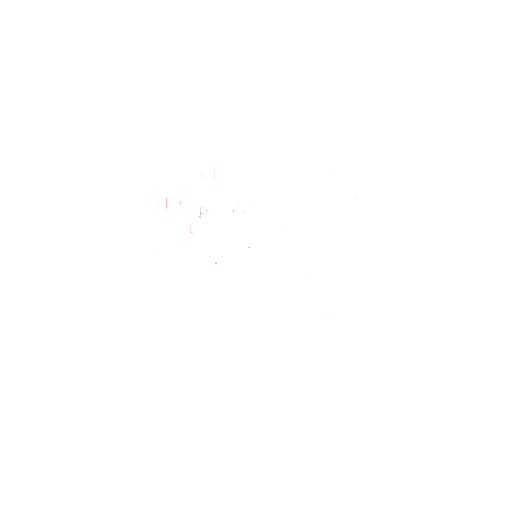 O=P(O)(O)OC(c1ccccc1)(c1ccccc1)c1ccccc1